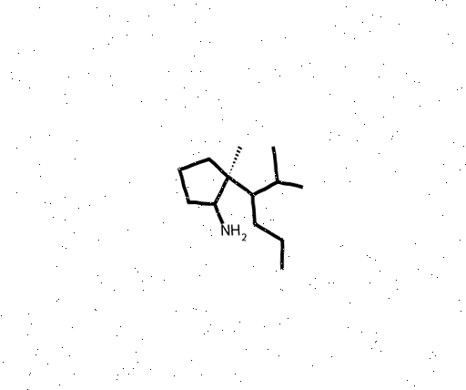 CCCC(C(C)C)[C@]1(C)CCCC1N